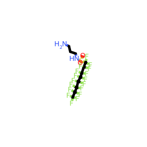 NCCCNS(=O)(=O)C(F)(F)C(F)(F)C(F)(F)C(F)(F)C(F)(F)C(F)(F)C(F)(F)C(F)(F)F